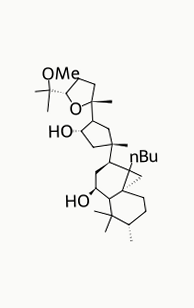 CCCCC12C[C@@]13CC[C@H](C)C(C)(C)C3[C@@H](O)C[C@H]2[C@@]1(C)CC([C@@]2(C)CC[C@@H](C(C)(C)OC)O2)[C@@H](O)C1